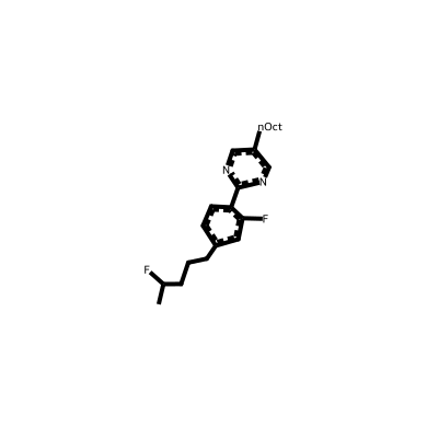 CCCCCCCCc1cnc(-c2ccc(CCCC(C)F)cc2F)nc1